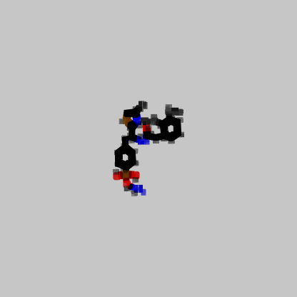 CCc1csc([C@H](Cc2ccc(S(=O)(=O)ON)cc2)NC(=O)Cc2cccc(OC)c2OC)n1